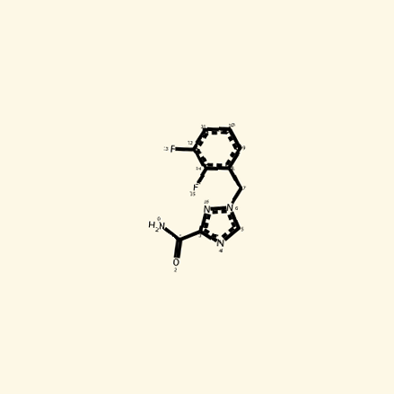 NC(=O)c1ncn(Cc2cccc(F)c2F)n1